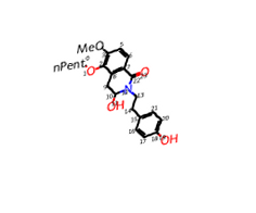 CCCCCOc1c(OC)ccc2c1CC(O)N(CCc1ccc(O)cc1)C2=O